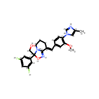 COc1cc(C=C2CCCN3C2=NOC3(CO)c2cc(F)cc(F)c2)ccc1-n1cnc(C)c1